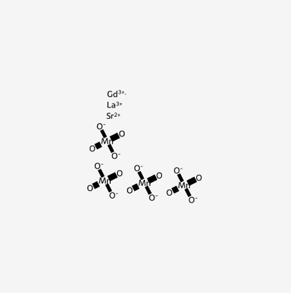 [Gd+3].[La+3].[O]=[Mn](=[O])([O-])[O-].[O]=[Mn](=[O])([O-])[O-].[O]=[Mn](=[O])([O-])[O-].[O]=[Mn](=[O])([O-])[O-].[Sr+2]